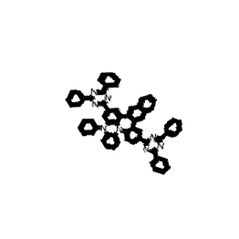 c1ccc(-c2nc(-c3ccccc3)nc(-c3ccc4c(c3)-c3cc5ccccc5cc3-c3cc(-c5nc(-c6ccccc6)nc(-c6ccccc6)n5)cc5c3N4c3ccccc3N5c3ccccc3)n2)cc1